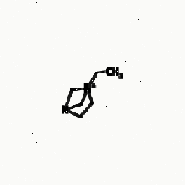 CC[N+]12CCN(C1)C2